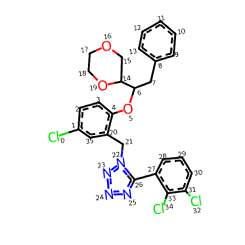 Clc1ccc(OC(Cc2ccccc2)C2COCCO2)c(Cn2nnnc2-c2cccc(Cl)c2Cl)c1